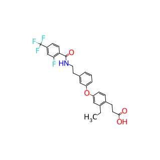 CCc1cc(Oc2cccc(CCNC(=O)c3ccc(C(F)(F)F)cc3F)c2)ccc1CCC(=O)O